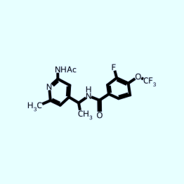 CC(=O)Nc1cc(C(C)NC(=O)c2ccc(OC(F)(F)F)c(F)c2)cc(C)n1